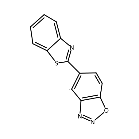 [c]1c(-c2nc3ccccc3s2)ccc2onnc12